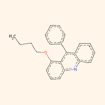 CCCCOc1cccc2nc3ccccc3c(-c3ccccc3)c12